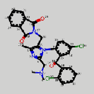 Cc1nc(CN(C)C)n(-c2ccc(Cl)cc2C(=O)c2ccccc2Cl)c1CN1C(=O)c2ccccc2C1=O